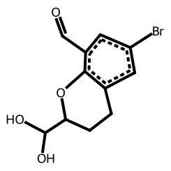 O=Cc1cc(Br)cc2c1OC(C(O)O)CC2